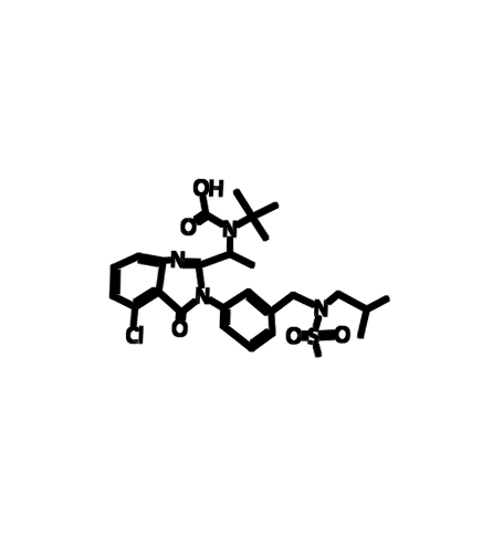 CC(C)CN(Cc1cccc(-n2c(C(C)N(C(=O)O)C(C)(C)C)nc3cccc(Cl)c3c2=O)c1)S(C)(=O)=O